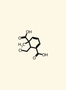 CC1(C(=O)O)C=CC=C(C(=O)O)C1CCl